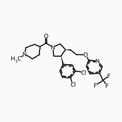 CN1CCC(C(=O)N2C[C@@H](CCOc3ccc(C(F)(F)F)cn3)[C@@H](c3ccc(Cl)c(Cl)c3)C2)CC1